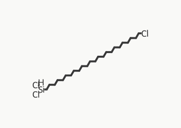 ClCCCCCCCCCCCCCCCCCCCCCCCC[SiH](Cl)Cl